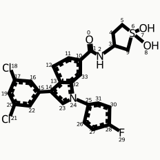 O=C(NC1CCS(O)(O)C1)c1ccc2c(-c3cc(Cl)cc(Cl)c3)cn(-c3ccc(F)cc3)c2c1